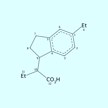 CCc1ccc2c(c1)CCC2C(CC)C(=O)O